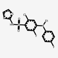 CCN(c1ccc(F)cc1)c1cc(Cl)c(S(=O)(=O)Nc2nccs2)cc1F